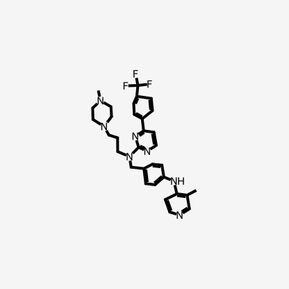 Cc1cnccc1Nc1ccc(CN(CCCN2CCN(C)CC2)c2nccc(-c3ccc(C(F)(F)F)cc3)n2)cc1